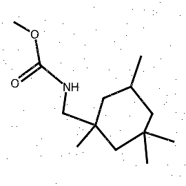 COC(=O)NCC1(C)CC(C)CC(C)(C)C1